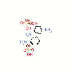 Nc1cccc(O)c1.Nc1ccccc1N.O=S(=O)(O)O.O=S(=O)(O)O